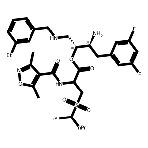 CCCC(CCC)S(=O)(=O)CC(NC(=O)c1c(C)noc1C)C(=O)O[C@H](CNCc1cccc(CC)c1)[C@@H](N)Cc1cc(F)cc(F)c1